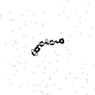 O=C(CN1CCN(CCc2ccccc2)CC1)N1CCN(Cc2ccc3c(c2)OCCO3)CC1